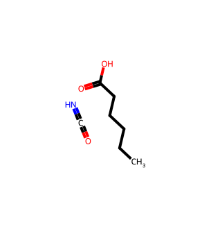 CCCCCC(=O)O.N=C=O